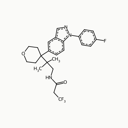 CC(C)(CNC(=O)CC(F)(F)F)C1(c2ccc3c(cnn3-c3ccc(F)cc3)c2)CCOCC1